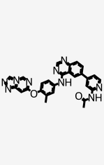 CC(=O)Nc1cc(-c2ccc3ncnc(Nc4ccc(Oc5cc6nncn6cn5)c(C)c4)c3c2)ccn1